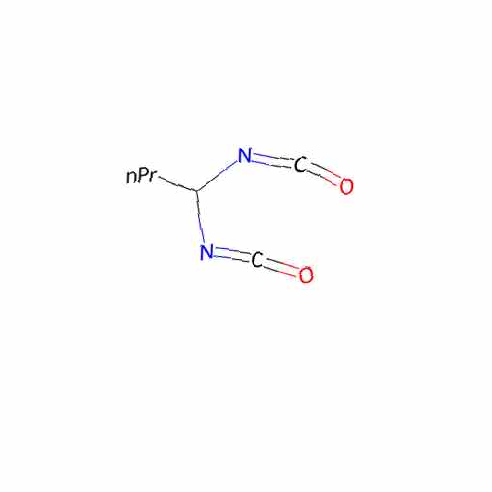 CCCC(N=C=O)N=C=O